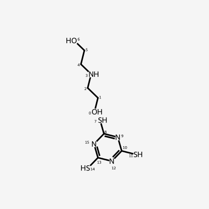 OCCNCCO.Sc1nc(S)nc(S)n1